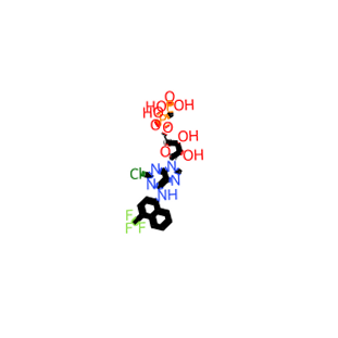 O=P(O)(O)CP(=O)(O)OC[C@H]1O[C@@H](n2cnc3c(Nc4ccc(C(F)(F)F)c5ccccc45)nc(Cl)nc32)C(O)C1O